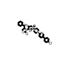 CC(C)C(CS(=O)(=O)N1CCN(c2ccc(-c3ccc(Cl)cc3)cn2)CC1)C(=O)N1C(=O)OCC1Cc1ccccc1